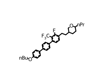 CCCCOc1ccc(-c2ccc(-c3ccc(CCC4CCC(CCC)OC4)c(F)c3C(F)(F)F)cc2)cc1